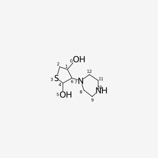 OC1CSC(O)C1N1CCNCC1